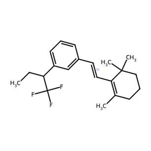 CCC(c1cccc(/C=C/C2=C(C)CCCC2(C)C)c1)C(F)(F)F